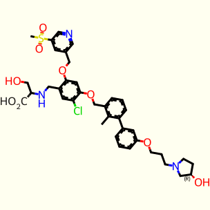 Cc1c(COc2cc(OCc3cncc(S(C)(=O)=O)c3)c(CNC(CO)C(=O)O)cc2Cl)cccc1-c1cccc(OCCCN2CC[C@@H](O)C2)c1